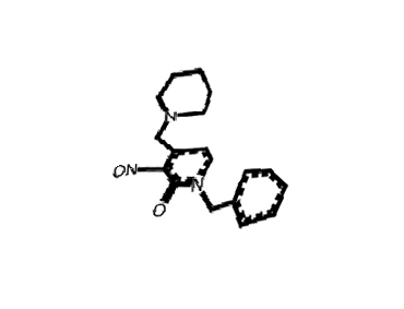 O=Nc1c(CN2CCCCC2)ccn(Cc2ccccc2)c1=O